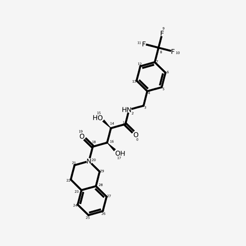 O=C(NCc1ccc(C(F)(F)F)cc1)[C@H](O)[C@@H](O)C(=O)N1CCc2ccccc2C1